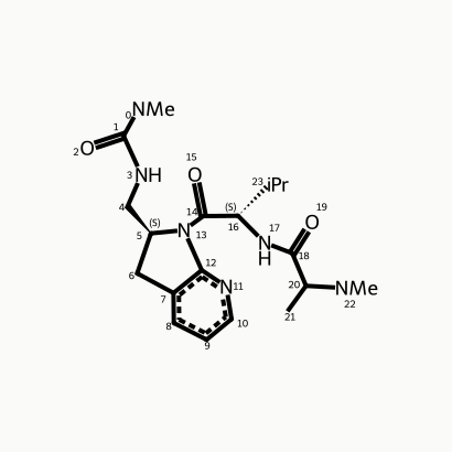 CNC(=O)NC[C@@H]1Cc2cccnc2N1C(=O)[C@@H](NC(=O)C(C)NC)C(C)C